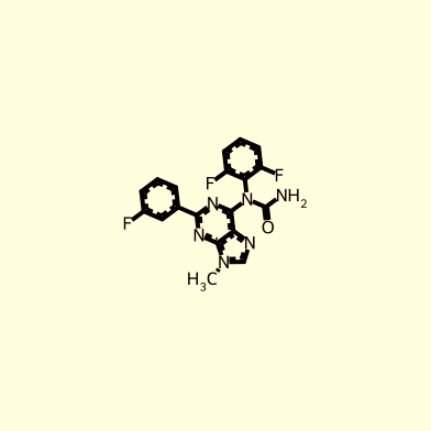 Cn1cnc2c(N(C(N)=O)c3c(F)cccc3F)nc(-c3cccc(F)c3)nc21